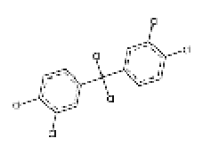 Clc1ccc(C(Cl)(Cl)c2ccc(Cl)c(Cl)c2)cc1Cl